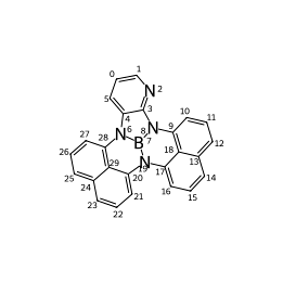 c1cnc2c(c1)N1B3N2c2cccc4cccc(c24)N3c2cccc3cccc1c23